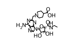 CCNC(=O)[C@H]1O[C@@H](n2cnc3c(N)nc(CN4CCC(C(=O)O)CC4)nc32)C(O)[C@H]1O